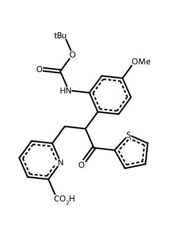 COc1ccc(C(Cc2cccc(C(=O)O)n2)C(=O)c2cccs2)c(NC(=O)OC(C)(C)C)c1